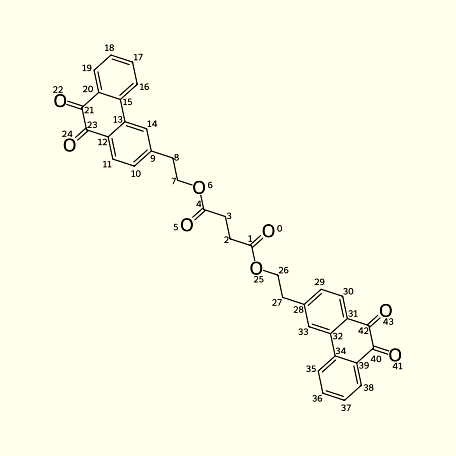 O=C(CCC(=O)OCCc1ccc2c(c1)-c1ccccc1C(=O)C2=O)OCCc1ccc2c(c1)-c1ccccc1C(=O)C2=O